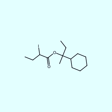 CCC(I)C(=O)OC(C)(CC)C1CCCCC1